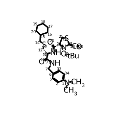 CN(C)c1ccc(CNC(=O)[C@H](CSCC2CCCCC2)NC(=O)[C@@H]2CSC(=C=O)N2OC(C)(C)C)cc1